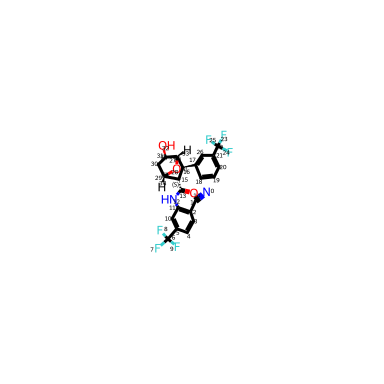 N#Cc1ccc(C(F)(F)F)cc1NC(=O)[C@H]1[C@H](c2cccc(C(F)(F)F)c2)[C@@H]2O[C@H]1C[C@H]2O